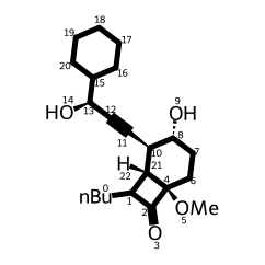 CCCCC1C(=O)[C@@]2(OC)CC[C@@H](O)[C@H](C#C[C@@H](O)C3CCCCC3)[C@@H]12